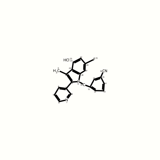 Cc1c(-c2cccnc2)n(Cc2cccc(C#N)c2)c2cc(F)ccc12.Cl